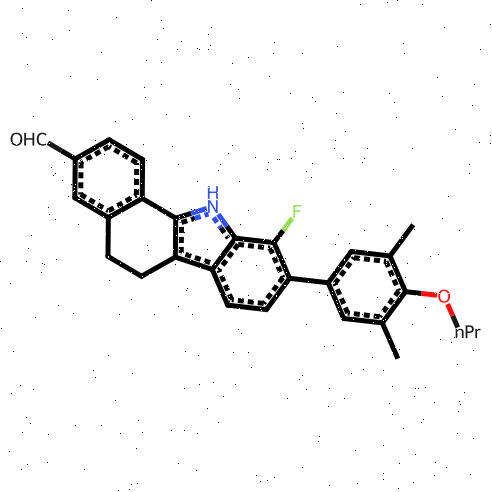 CCCOc1c(C)cc(-c2ccc3c4c([nH]c3c2F)-c2ccc(C=O)cc2CC4)cc1C